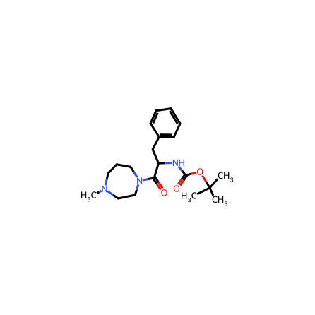 CN1CCCN(C(=O)C(Cc2ccccc2)NC(=O)OC(C)(C)C)CC1